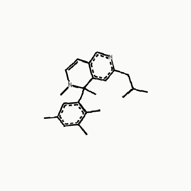 Cc1cc(C)c(C)c(C2(C)c3cc(CC(C)C)ncc3C=CN2C)c1